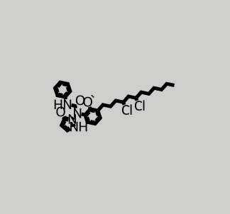 CCCCCCC(Cl)CC(Cl)CCCc1cccc(N(C(=O)Nc2ccccc2)n2[nH]ccc2=O)c1OC